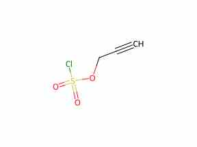 C#CCOS(=O)(=O)Cl